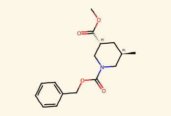 COC(=O)[C@@H]1C[C@@H](C)CN(C(=O)OCc2ccccc2)C1